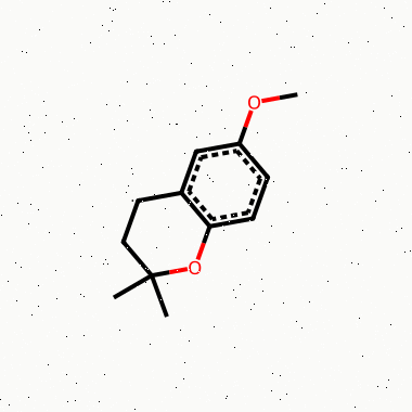 COc1ccc2c(c1)[CH]CC(C)(C)O2